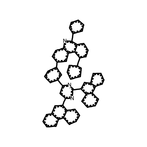 c1ccc(-c2nc3ccc(-c4cccc(-c5cc(-c6cc7ccccc7c7ccccc67)nc(-c6cc7ccccc7c7ccccc67)n5)c4)cc3c3c(-c4ccccc4)cccc23)cc1